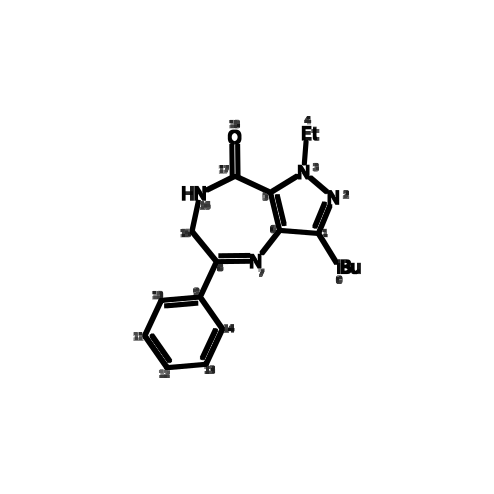 CCC(C)c1nn(CC)c2c1N=C(c1ccccc1)CNC2=O